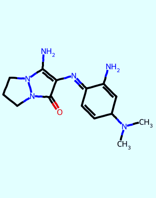 CN(C)C1C=C/C(=N\c2c(N)n3n(c2=O)CCC3)C(N)=C1